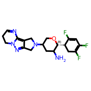 NC1CC(N2Cc3nn4c(c3C2)N=CCC4)CO[C@@H]1C1CC(F)=C(F)C=C1F